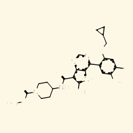 Cc1cc(-c2ncnc3c(C(=O)NC4CCN(C(=O)OC(C)(C)C)CC4)c(C)[nH]c23)c(OCC2CC2)cc1F